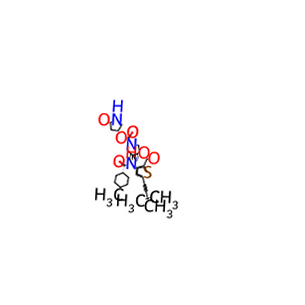 CC(C)(C)C#Cc1cc(N(C(=O)[C@H]2CC[C@H](C)CC2)[C@@H]2CCN(C(=O)OC3CNC(=O)C3)C2)c(C(=O)O)s1